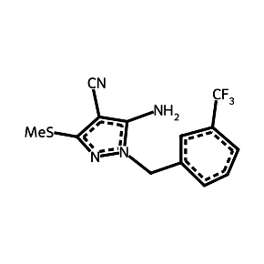 CSc1nn(Cc2cccc(C(F)(F)F)c2)c(N)c1C#N